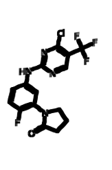 O=C1CCCN1c1cc(Nc2ncc(C(F)(F)F)c(Cl)n2)ccc1F